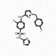 O=S(=O)(Nc1nccs1)c1ccc(Nc2ccn(Cc3ccc(F)cc3)n2)c(F)c1